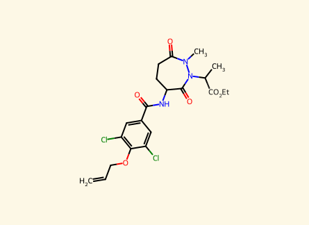 C=CCOc1c(Cl)cc(C(=O)NC2CCC(=O)N(C)N(C(C)C(=O)OCC)C2=O)cc1Cl